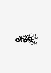 CN1c2ccccc2N(C)C1Cc1cccc(C2OC(CO)[C@@H](O)C(O)[C@H]2O)c1